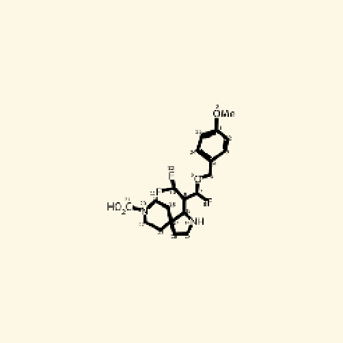 COc1ccc(COC(F)C(C(F)F)C2NCCC23CCN(C(=O)O)CC3)cc1